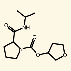 CC(C)NC(=O)C1CCCN1C(=O)OC1CCOC1